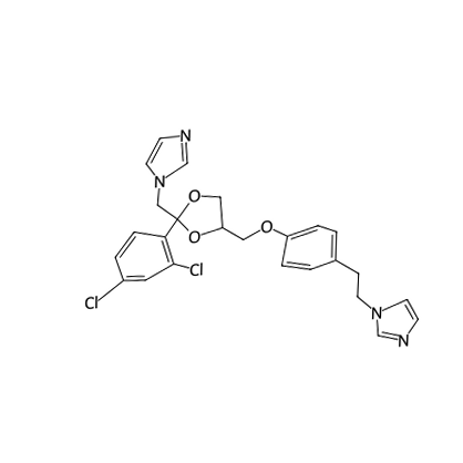 Clc1ccc(C2(Cn3ccnc3)OCC(COc3ccc(CCn4ccnc4)cc3)O2)c(Cl)c1